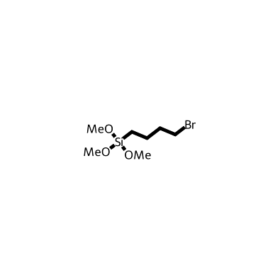 CO[Si](CCCCBr)(OC)OC